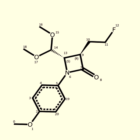 COc1ccc(N2C(=O)[C@H](CCF)[C@H]2C(OC)OC)cc1